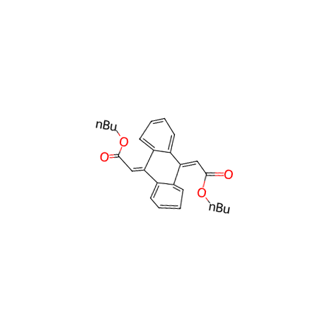 CCCCOC(=O)C=c1c2ccccc2c(=CC(=O)OCCCC)c2ccccc12